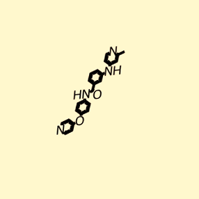 Cc1cc(Nc2cccc(C(=O)Nc3ccc(Oc4ccncc4)cc3)c2)ccn1